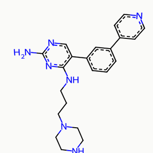 Nc1ncc(-c2cccc(-c3ccncc3)c2)c(NCCCN2CCNCC2)n1